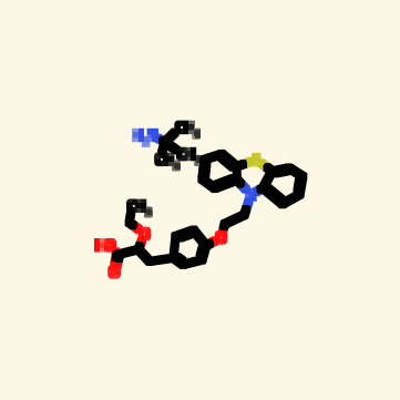 CC(C)(C)N.CCOC(Cc1ccc(OCCN2c3ccccc3Sc3ccccc32)cc1)C(=O)O